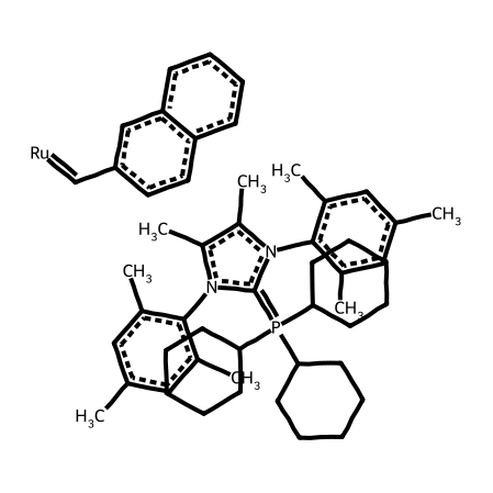 Cc1cc(C)c(-n2c(C)c(C)n(-c3c(C)cc(C)cc3C)c2=P(C2CCCCC2)(C2CCCCC2)C2CCCCC2)c(C)c1.[Ru]=[CH]c1ccc2ccccc2c1